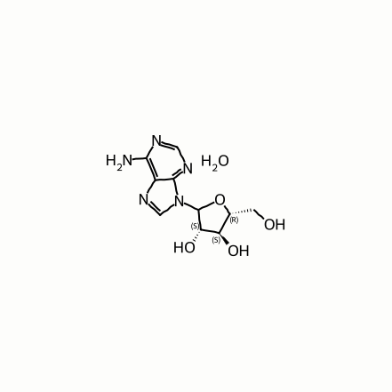 Nc1ncnc2c1ncn2C1O[C@H](CO)[C@@H](O)[C@@H]1O.O